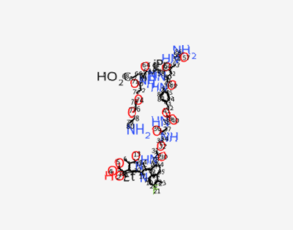 CC[C@@]1(O)C(=O)OCc2c1cc1n(c2=O)Cc2c-1nc1cc(F)c(C)c3c1c2[C@@H](NC(=O)COCNC(=O)CNC(=O)OCc1ccc(NC(=O)[C@H](CCCNC(N)=O)NC(=O)C(NC(=O)[C@@H](CCC(=O)O)NC(=O)CCOCCOCCN)C(C)C)cc1)CC3